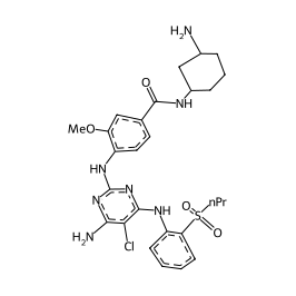 CCCS(=O)(=O)c1ccccc1Nc1nc(Nc2ccc(C(=O)NC3CCCC(N)C3)cc2OC)nc(N)c1Cl